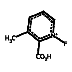 Cc1ccc[n+](F)c1C(=O)O